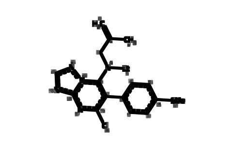 C=C(C)CN(CC)c1c(-c2ccc(SC)cc2)c(Cl)nc2ncnn12